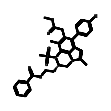 COC(=O)Cc1c(C)c2c3c(cc(C)n3C[C@H](CCOC(=O)c3ccccc3)N2S(C)(=O)=O)c1-c1ccc(Cl)cc1